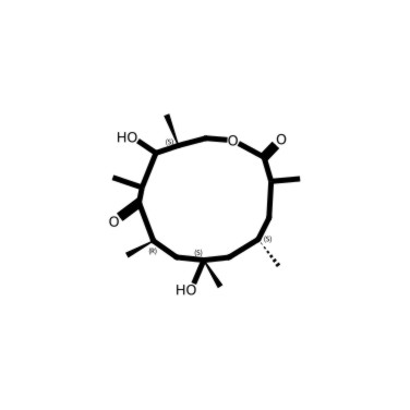 CC1C[C@H](C)C[C@](C)(O)C[C@@H](C)C(=O)C(C)C(O)[C@@H](C)COC1=O